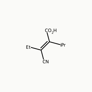 CC/C(C#N)=C(\C(=O)O)C(C)C